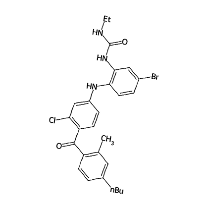 CCCCc1ccc(C(=O)c2ccc(Nc3ccc(Br)cc3NC(=O)NCC)cc2Cl)c(C)c1